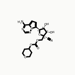 N#C[C@]1(COC(=O)OC2CCOCC2)O[C@@H](c2ccc3c(N)ncnn23)[C@H](O)[C@@H]1O